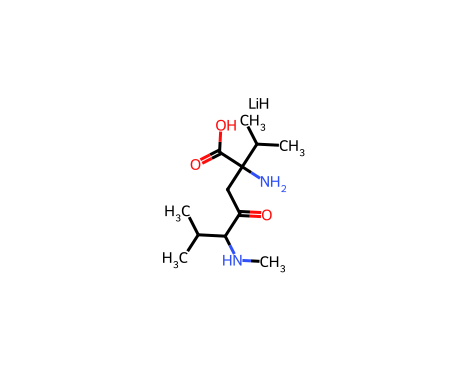 CNC(C(=O)CC(N)(C(=O)O)C(C)C)C(C)C.[LiH]